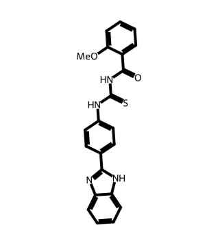 COc1ccccc1C(=O)NC(=S)Nc1ccc(-c2nc3ccccc3[nH]2)cc1